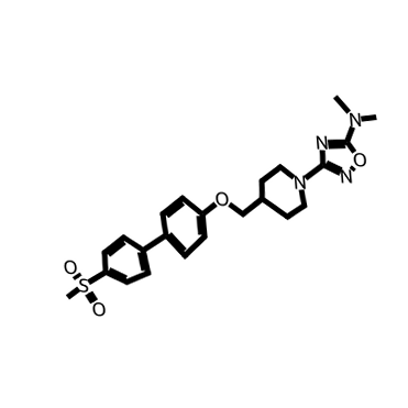 CN(C)c1nc(N2CCC(COc3ccc(-c4ccc(S(C)(=O)=O)cc4)cc3)CC2)no1